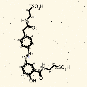 O=C(Cc1ccc(/N=N/c2ccc(O)c(C(=O)NCCS(=O)(=O)O)c2)cc1)NCCS(=O)(=O)O